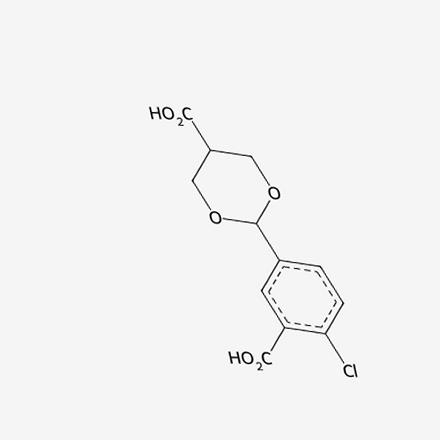 O=C(O)c1cc(C2OCC(C(=O)O)CO2)ccc1Cl